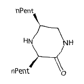 CCCCC[C@H]1CNC(=O)[C@@H](CCCCC)N1